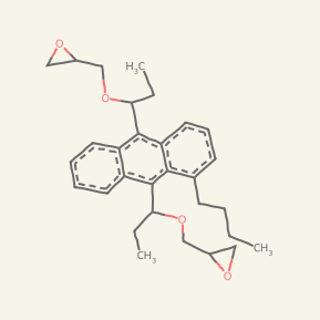 CCCCc1cccc2c(C(CC)OCC3CO3)c3ccccc3c(C(CC)OCC3CO3)c12